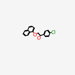 O=C(COc1cccc2ccccc12)c1ccc(Cl)cc1